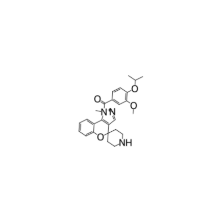 COc1cc(C(=O)[N+]2(C)N=CC3=C2c2ccccc2OC32CCNCC2)ccc1OC(C)C